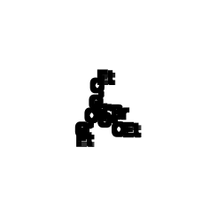 CCOCO[Si](CBr)(OCOCC)OCOCC